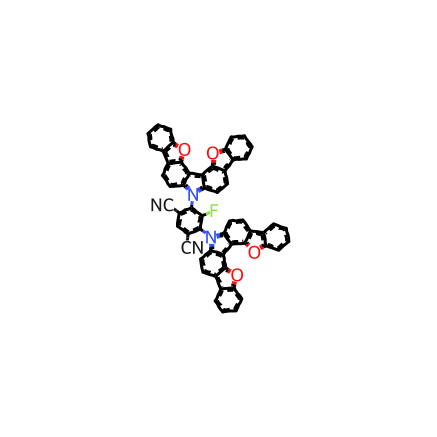 N#Cc1cc(C#N)c(-n2c3ccc4c5ccccc5oc4c3c3c4oc5ccccc5c4ccc32)c(F)c1-n1c2ccc3c4ccccc4oc3c2c2c3oc4ccccc4c3ccc21